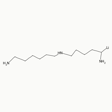 [Li][CH](N)CCCCNCCCCCCN